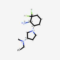 CC(C)CN(C)[C@H]1CCN([C@H]2CCCC(F)(F)[C@@H]2N)C1